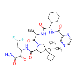 CC(C)(C)C(NC(=O)[C@@H](NC(=O)c1cnccn1)C1CCCCC1)C(=O)N1CC2(C[C@H]1C(=O)NC(CC(F)F)C(=O)C(N)=O)C(C)(C)C21CCC1